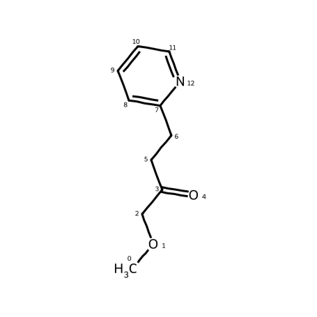 COCC(=O)CCc1ccccn1